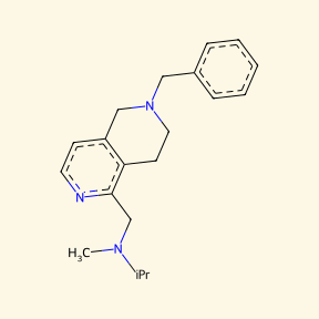 CC(C)N(C)Cc1nccc2c1CCN(Cc1ccccc1)C2